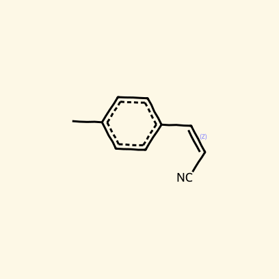 Cc1ccc(/C=C\C#N)cc1